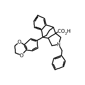 O=C(O)C12CN(Cc3ccccc3)CC1C1(c3ccc4c(c3)OCCO4)CCC2c2ccccc21